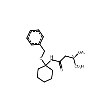 CC(=O)O[C@H](CC(=O)NC1(OCc2ccccc2)CCCCC1)C(=O)O